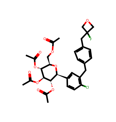 CC(=O)OC[C@H]1O[C@@H](c2ccc(Cl)c(Cc3ccc(CC4(F)COC4)cc3)c2)[C@H](OC(C)=O)[C@@H](OC(C)=O)[C@@H]1OC(C)=O